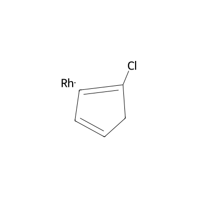 ClC1=CC=CC1.[Rh]